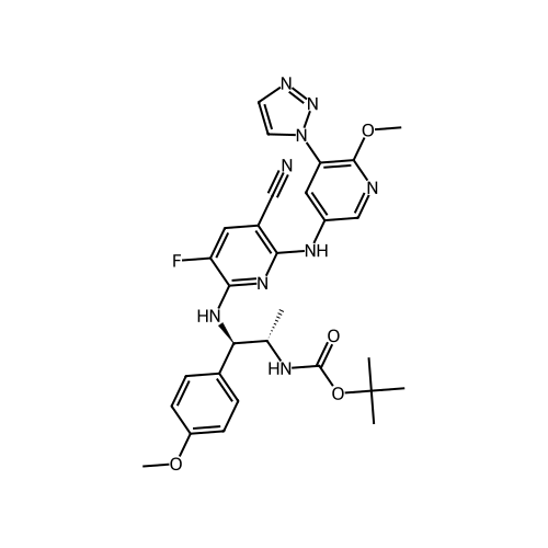 COc1ccc([C@@H](Nc2nc(Nc3cnc(OC)c(-n4ccnn4)c3)c(C#N)cc2F)[C@H](C)NC(=O)OC(C)(C)C)cc1